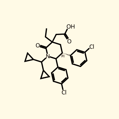 CCC1(CC(=O)O)C[C@H](c2cccc(Cl)c2)C(c2ccc(Cl)cc2)N(C(C2CC2)C2CC2)C1=O